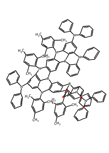 Cc1cc(C)c(N2c3cc4c(cc3B3c5ccccc5N(c5ccccc5)c5cc(N(c6ccccc6)c6ccccc6)cc2c53)B2c3cc5c(cc3N(c3c(C)cc(C)cc3C)c3cc(N(c6ccccc6)c6ccccc6)cc(c32)N4c2c(C)cc(C)cc2C)N(c2c(C)cc(C)cc2C)c2cc(N(c3ccccc3)c3ccccc3)cc3c2B5c2ccccc2N3c2ccccc2)c(C)c1